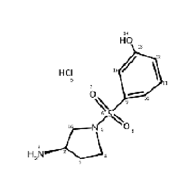 Cl.N[C@@H]1CCN(S(=O)(=O)c2cccc(O)c2)C1